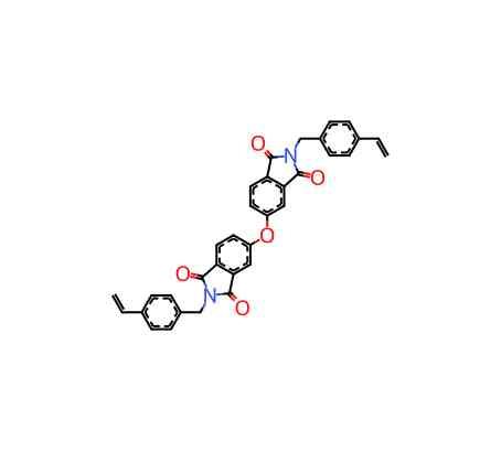 C=Cc1ccc(CN2C(=O)c3ccc(Oc4ccc5c(c4)C(=O)N(Cc4ccc(C=C)cc4)C5=O)cc3C2=O)cc1